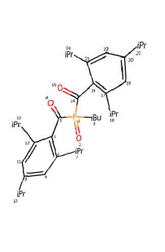 CCC(C)P(=O)(C(=O)c1c(C(C)C)cc(C(C)C)cc1C(C)C)C(=O)c1c(C(C)C)cc(C(C)C)cc1C(C)C